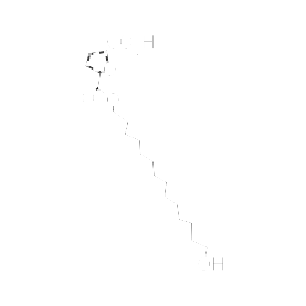 O=C(O)c1ccc(C(=O)OCCCCCCCCCCCCCCO)o1